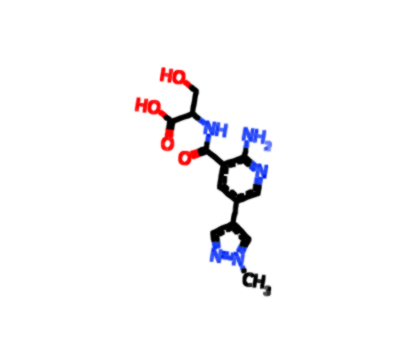 Cn1cc(-c2cnc(N)c(C(=O)NC(CO)C(=O)O)c2)cn1